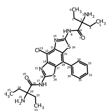 CCC(N)(CC)C(=O)Nc1nc2c(Cl)c3nc(NC(=O)C(N)(CC)CC)sc3c(-c3ccccc3)c2s1